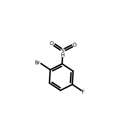 O=[SH](=O)c1cc(F)ccc1Br